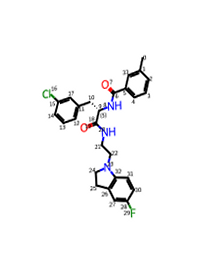 Cc1cccc(C(=O)N[C@@H](Cc2cccc(Cl)c2)C(=O)NCCN2CCc3cc(F)ccc32)c1